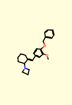 COc1cc(C=C2CCCCC2N2CCC2)ccc1OCc1ccccc1